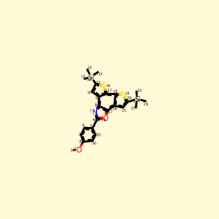 COc1ccc(-c2nc3c4cc([Si](C)(C)C)sc4c4sc([Si](C)(C)C)cc4c3o2)cc1